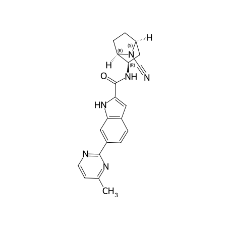 Cc1ccnc(-c2ccc3cc(C(=O)N[C@@H]4C[C@@H]5CC[C@H]4N5C#N)[nH]c3c2)n1